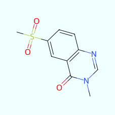 Cn1cnc2ccc(S(C)(=O)=O)cc2c1=O